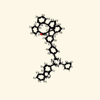 c1ccc(-c2nc(-c3ccc(-c4ccc5c(c4)-c4ccccc4C54c5ccccc5-c5ccccc5-c5ccccc5-c5ccccc54)cc3)nc(-c3ccc4c(c3)oc3ccccc34)n2)cc1